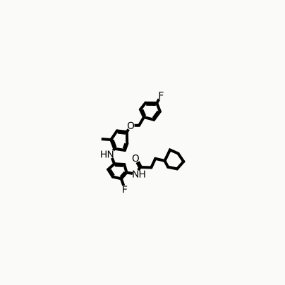 Cc1cc(OCc2ccc(F)cc2)ccc1Nc1ccc(F)c(NC(=O)CCC2CCCCC2)c1